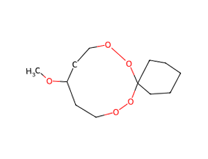 COC1CCOOC2(CCCCC2)OOCC1